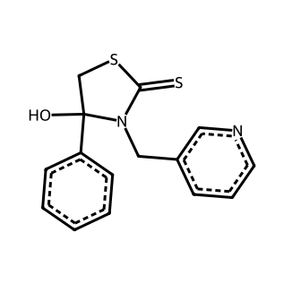 OC1(c2ccccc2)CSC(=S)N1Cc1cccnc1